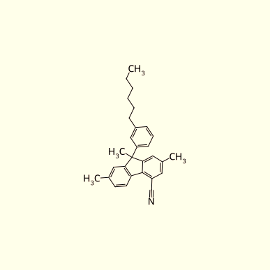 CCCCCCc1cccc(C2(C)c3cc(C)ccc3-c3c(C#N)cc(C)cc32)c1